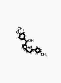 COc1ccc(C(O)c2cnc3ccc(-c4cnn(C)c4)nn23)cc1